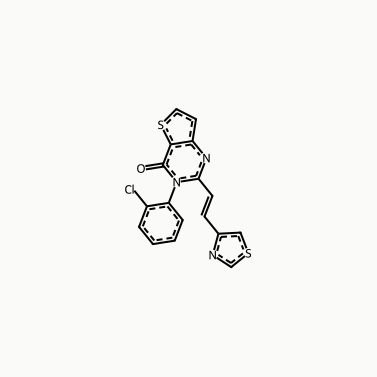 O=c1c2sccc2nc(C=Cc2cscn2)n1-c1ccccc1Cl